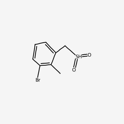 Cc1c(Br)cccc1C[SH](=O)=O